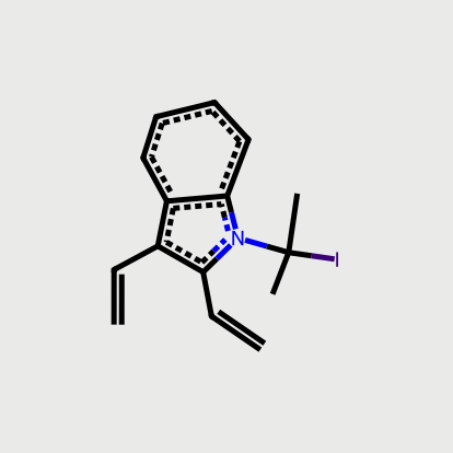 C=Cc1c(C=C)n(C(C)(C)I)c2ccccc12